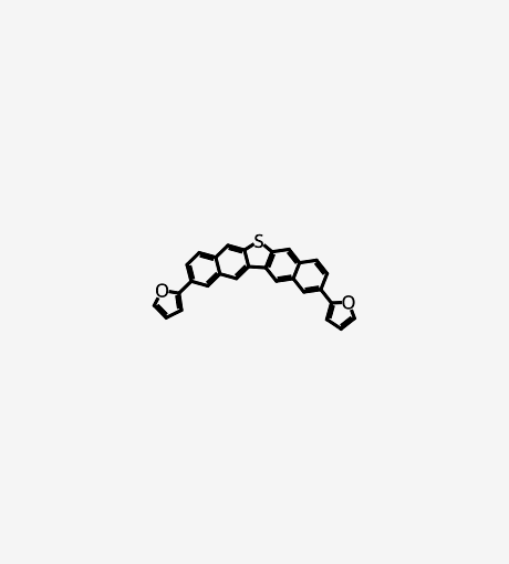 c1coc(-c2ccc3cc4sc5cc6ccc(-c7ccco7)cc6cc5c4cc3c2)c1